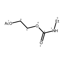 CCNC(=O)OCCOC(C)=O